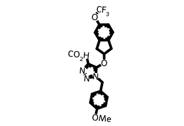 COc1ccc(Cn2nnc(C(=O)O)c2OC2Cc3ccc(OC(F)(F)F)cc3C2)cc1